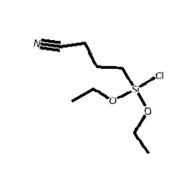 CCO[Si](Cl)(CCCC#N)OCC